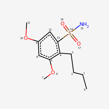 CCCCc1c(OC)cc(OC)cc1S(N)(=O)=O